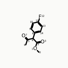 COC(=O)C(C(C)=O)c1ccc(F)cc1